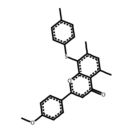 COc1ccc(-c2cc(=O)c3c(C)cc(C)c(Sc4ccc(C)cc4)c3o2)cc1